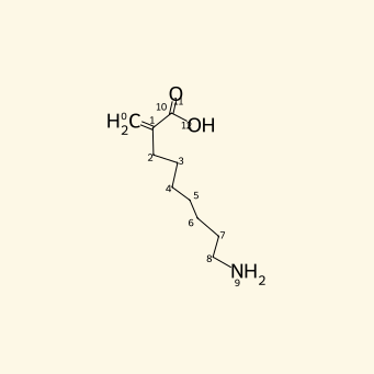 C=C(CCCCCCCN)C(=O)O